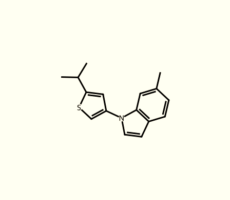 Cc1ccc2ccn(-c3csc(C(C)C)c3)c2c1